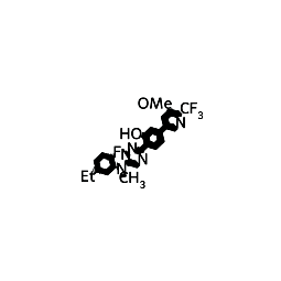 CC[C@@H]1CC[C@H](F)[C@H](N(C)c2cnc(-c3ccc(-c4cnc(C(F)(F)F)c(OC)c4)cc3O)nn2)C1